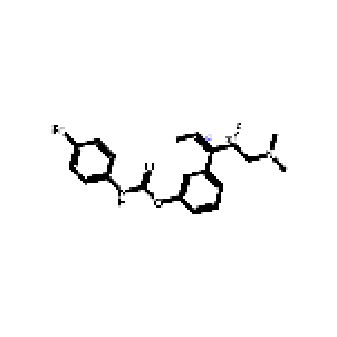 C/C=C(\c1cccc(OC(=O)Nc2ccc(C(C)C)cc2)c1)[C@H](C)CN(C)C